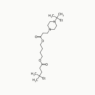 CCC(C)(C)CCC(=O)OCCCCOC(=O)CCN1CCN(C(C)(C)CC)CC1